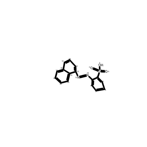 O=S(=O)(O)c1ccccc1N=Nc1cccc2ccccc12